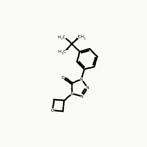 CC(C)(C)c1cccc(-n2nnn(C3COC3)c2=O)c1